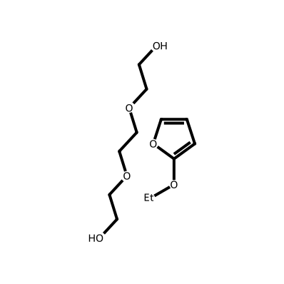 CCOc1ccco1.OCCOCCOCCO